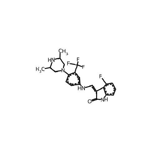 CC1CN(c2ccc(NC=C3C(=O)Nc4cccc(F)c43)cc2C(F)(F)F)CC(C)N1